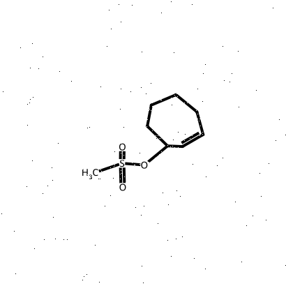 CS(=O)(=O)OC1C=CCCCC1